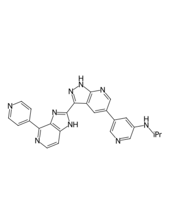 CC(C)Nc1cncc(-c2cnc3[nH]nc(-c4nc5c(-c6ccncc6)nccc5[nH]4)c3c2)c1